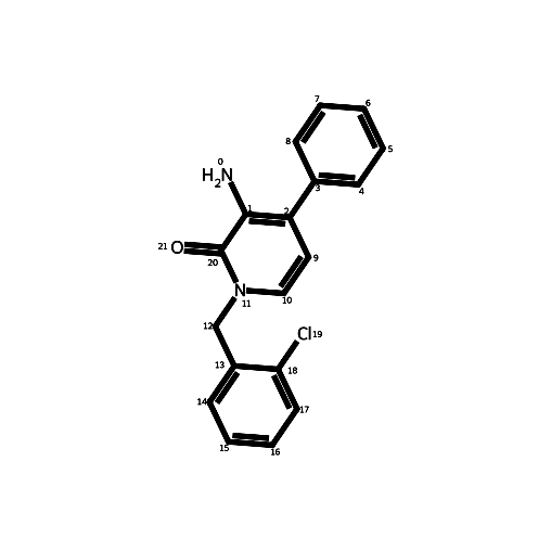 Nc1c(-c2ccccc2)ccn(Cc2ccccc2Cl)c1=O